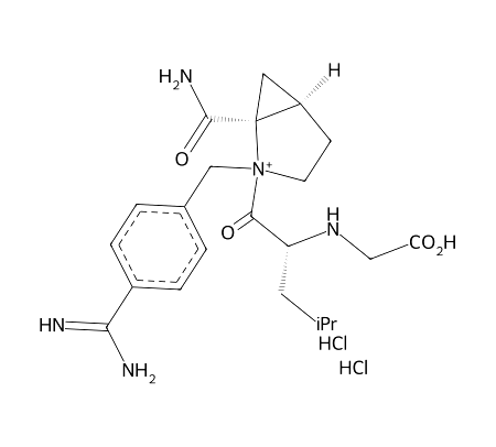 CC(C)C[C@@H](NCC(=O)O)C(=O)[N+]1(Cc2ccc(C(=N)N)cc2)CC[C@@H]2C[C@@]21C(N)=O.Cl.Cl